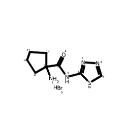 Br.NC1(C(=O)Nc2nncs2)CCCC1